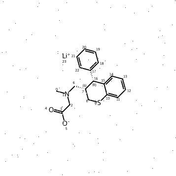 CN(CC(=O)[O-])C[C@H]1CSc2ccccc2[C@H]1c1ccccc1.[Li+]